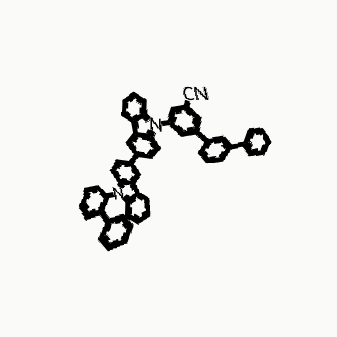 N#Cc1cc(-c2cccc(-c3ccccc3)c2)cc(-n2c3ccccc3c3cc(-c4ccc5c(c4)c4ccccc4n5-c4ccccc4-c4ccccc4)ccc32)c1